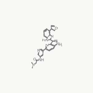 CN(C)CC(=O)Nc1cncc(-c2ccc3[nH]nc(-c4nc5c(-c6ccoc6)cccc5[nH]4)c3n2)c1